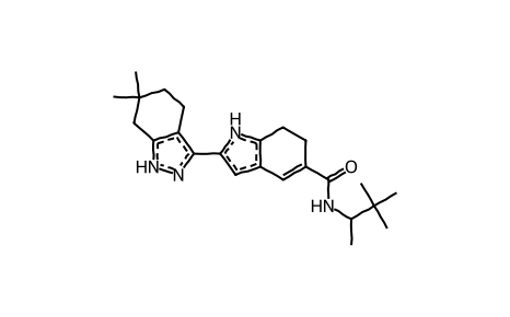 CC(NC(=O)C1=Cc2cc(-c3n[nH]c4c3CCC(C)(C)C4)[nH]c2CC1)C(C)(C)C